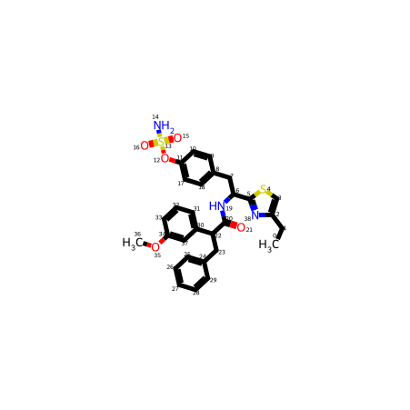 CCc1csc(C(Cc2ccc(OS(N)(=O)=O)cc2)NC(=O)C(Cc2ccccc2)c2cccc(OC)c2)n1